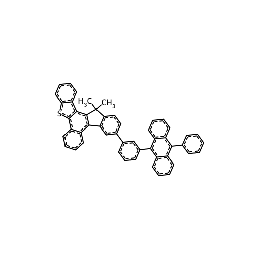 CC1(C)c2ccc(-c3cccc(-c4c5ccccc5c(-c5ccccc5)c5ccccc45)c3)cc2-c2c1c1c3ccccc3sc1c1ccccc21